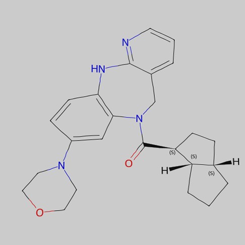 O=C([C@H]1CC[C@@H]2CCC[C@@H]21)N1Cc2cccnc2Nc2ccc(N3CCOCC3)cc21